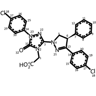 O=C(O)Cn1c(N2C[C@@H](c3ccccc3)C(c3ccc(Cl)cc3)=N2)nn(-c2ccc(Cl)cc2)c1=O